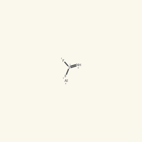 N=S(F)F.[Al]